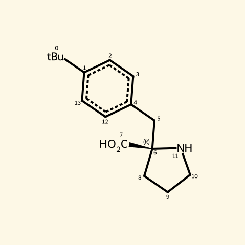 CC(C)(C)c1ccc(C[C@@]2(C(=O)O)CCCN2)cc1